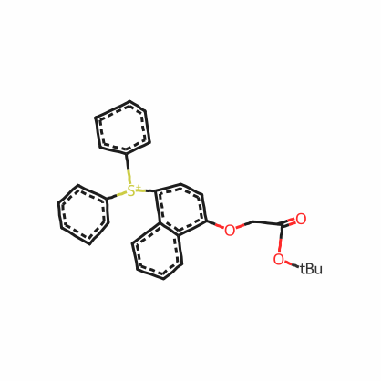 CC(C)(C)OC(=O)COc1ccc([S+](c2ccccc2)c2ccccc2)c2ccccc12